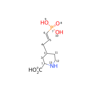 O=C(O)C1CC(C/C=C/P(=O)(O)O)CCN1